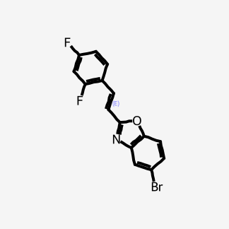 Fc1ccc(/C=C/c2nc3cc(Br)ccc3o2)c(F)c1